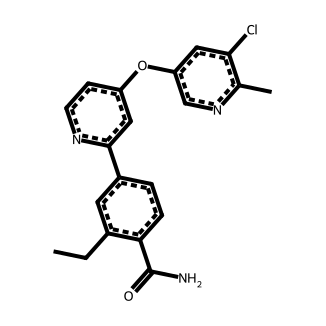 CCc1cc(-c2cc(Oc3cnc(C)c(Cl)c3)ccn2)ccc1C(N)=O